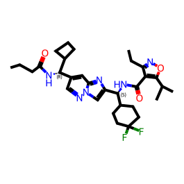 CCCC(=O)N[C@@H](c1cnn2cc([C@@H](NC(=O)c3c(CC)noc3C(C)C)C3CCC(F)(F)CC3)nc2c1)C1CCC1